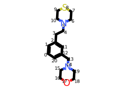 c1cc(CCN2CCSCC2)cc(CN2CCOCC2)c1